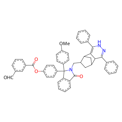 COc1ccc(C2(c3ccc(OC(=O)c4cccc(C=O)c4)cc3)c3ccccc3C(=O)N2CC2CC3CC2C2=C(c4ccccc4)NN=C(c4ccccc4)C23)cc1